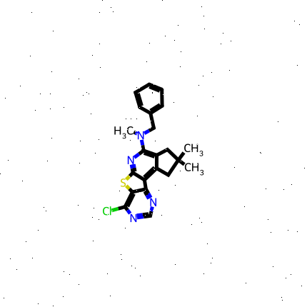 CN(Cc1ccccc1)c1nc2sc3c(Cl)ncnc3c2c2c1CC(C)(C)C2